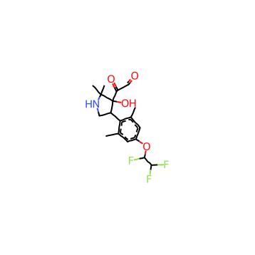 Cc1cc(OC(F)C(F)F)cc(C)c1C1CNC(C)(C)C1(O)C(=O)C=O